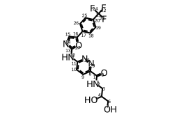 O=C(NCC(O)CO)c1ccc(Nc2ncc(-c3ccc(C(F)(F)F)cc3)o2)nn1